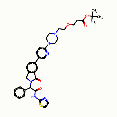 CC(C)(C)OC(=O)CCOCCN1CCN(c2ccc(-c3ccc4c(c3)C(=O)N(C(C(=O)Nc3nccs3)c3ccccc3)C4)cn2)CC1